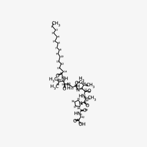 CCCCCCCCCCCCCCCC(=O)N[C@H](C(=O)NCC(=O)N[C@H](C(=O)N[C@@H](C)C(=O)N1CCC[C@H]1C(=O)NCC(=O)O)C(C)C)C(C)C